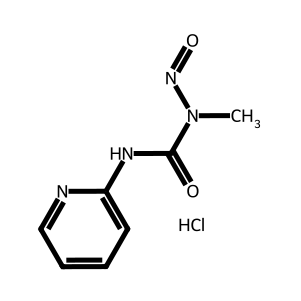 CN(N=O)C(=O)Nc1ccccn1.Cl